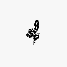 CN1C[C@H](c2cc(F)cc(F)c2)[C@@H](C(=O)NC2CCc3ccccc32)C1=O